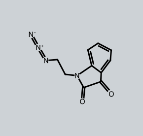 [N-]=[N+]=NCCN1C(=O)C(=O)c2ccccc21